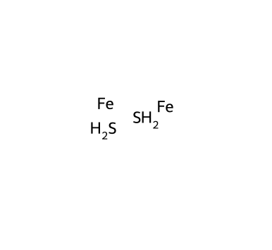 S.S.[Fe].[Fe]